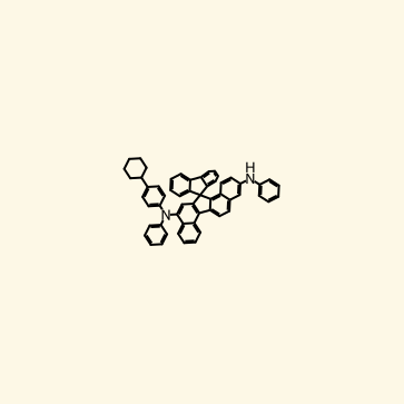 c1ccc(Nc2ccc3c4c(ccc3c2)-c2c(cc(N(c3ccccc3)c3ccc(C5CCCCC5)cc3)c3ccccc23)C42c3ccccc3-c3ccccc32)cc1